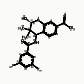 CC(=O)c1ccc2c(c1)O[C@@H](O)C(C)(C)C2NC(=O)c1cc(F)cc(F)c1